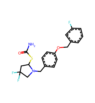 NC(=O)SC1CC(F)(F)CN1Cc1ccc(OCc2cccc(F)c2)cc1